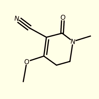 COC1=C(C#N)C(=O)N(C)CC1